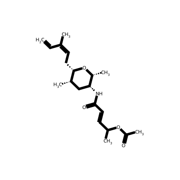 C=CC(C)=CC[C@@H]1O[C@H](C)[C@H](NC(=O)C=CC(C)OC(C)=O)C[C@@H]1C